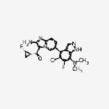 CN(C)c1c(F)c(Cl)c(-c2ccc3nc(N)c(C(=O)[C@@H]4C[C@@H]4F)n3c2)c2cn[nH]c12